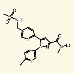 CCN(C)C(=O)c1cc(-c2ccc(CNS(C)(=O)=O)cn2)n(-c2ccc(C)nc2)n1